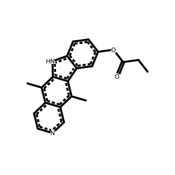 CCC(=O)Oc1ccc2[nH]c3c(C)c4ccncc4c(C)c3c2c1